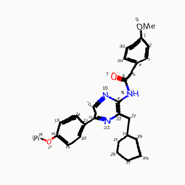 COc1ccc(CC(=O)Nc2ncc(-c3ccc(OC(C)C)cc3)nc2CC2CCCCC2)cc1